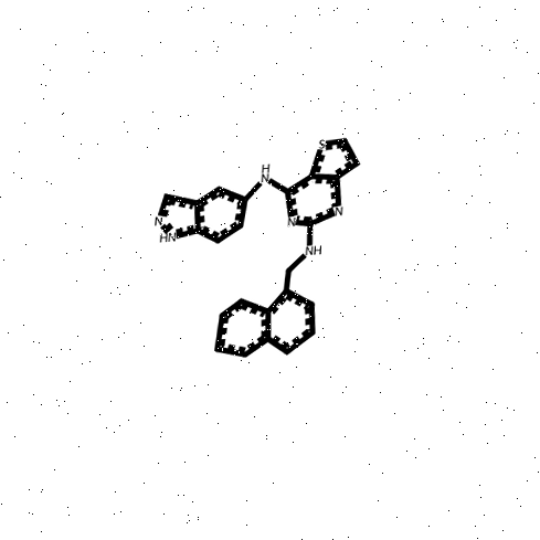 c1ccc2c(CNc3nc(Nc4ccc5[nH]ncc5c4)c4sccc4n3)cccc2c1